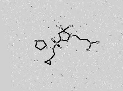 C[C@]1(N)CN(S(=O)(=O)N(CC2CC2)[C@@H]2CCNC2)C[C@@H]1CCCB(O)O